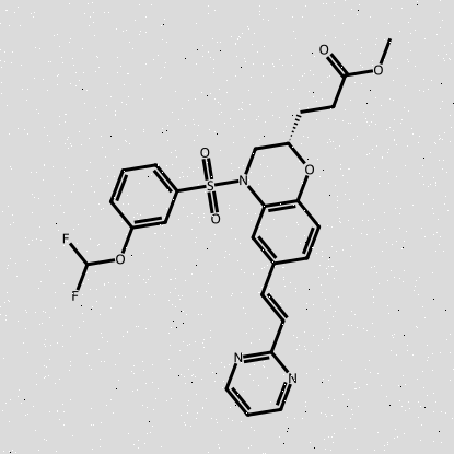 COC(=O)CC[C@H]1CN(S(=O)(=O)c2cccc(OC(F)F)c2)c2cc(/C=C/c3ncccn3)ccc2O1